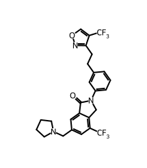 O=C1c2cc(CN3CCCC3)cc(C(F)(F)F)c2CN1c1cccc(CCc2nocc2C(F)(F)F)c1